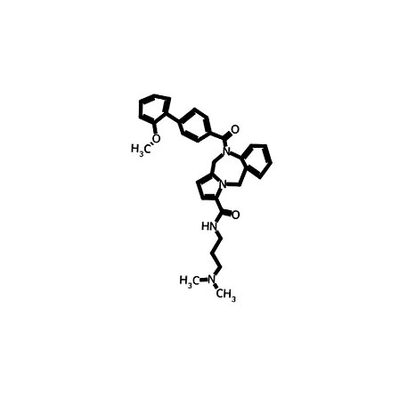 COc1ccccc1-c1ccc(C(=O)N2Cc3ccc(C(=O)NCCCN(C)C)n3Cc3ccccc32)cc1